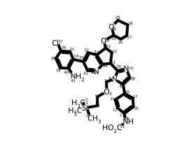 C[Si](C)(C)CCOCn1c(-c2ccc(NC(=O)O)cc2)cnc1C1CC(OC2CCCCO2)c2cc(-c3cc(Cl)ccc3N)cnc21